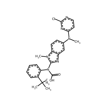 CN(c1ccc2c(c1)nc(N(C(=O)O)c1ccccc1C(C)(C)C)n2C)c1ccnc(Cl)n1